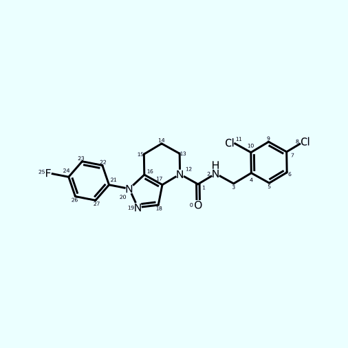 O=C(NCc1ccc(Cl)cc1Cl)N1CCCc2c1cnn2-c1ccc(F)cc1